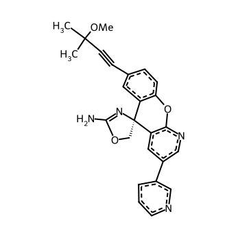 COC(C)(C)C#Cc1ccc2c(c1)[C@@]1(COC(N)=N1)c1cc(-c3cccnc3)cnc1O2